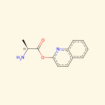 C[C@H](N)C(=O)Oc1ccc2ccccc2n1